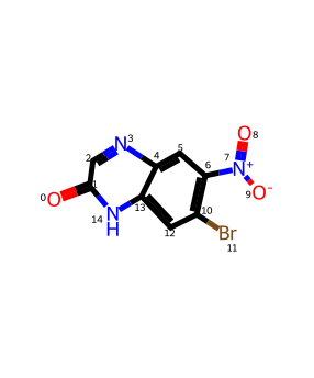 O=c1cnc2cc([N+](=O)[O-])c(Br)cc2[nH]1